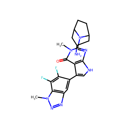 Cn1c(N2C3CCC2CC(N)C3)nc2[nH]cc(-c3cc4nnn(C)c4c(F)c3F)c2c1=O